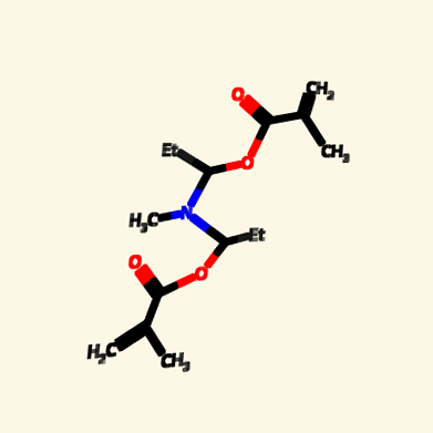 C=C(C)C(=O)OC(CC)N(C)C(CC)OC(=O)C(=C)C